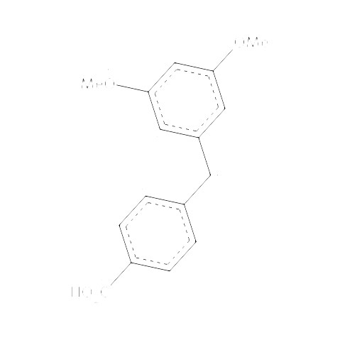 COc1cc(Cc2ccc(C(=O)O)cc2)cc(OC)c1